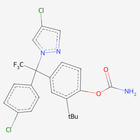 CC(C)(C)c1cc(C(c2ccc(Cl)cc2)(n2cc(Cl)cn2)C(F)(F)F)ccc1OC(N)=O